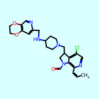 C/C=C\c1ncc(Cl)c2c1N(C=O)CC2CN1CCC(NCc2cc3c(cn2)OCCO3)CC1